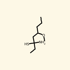 CCCC(CC(N)(S)CC)OC